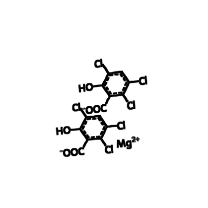 O=C([O-])c1c(O)c(Cl)cc(Cl)c1Cl.O=C([O-])c1c(O)c(Cl)cc(Cl)c1Cl.[Mg+2]